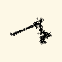 CC[C@@]1(O)C(=O)OCc2c1cc1n(c2=O)Cc2c-1nc1cc(F)c(C)c3c1c2[C@@H](NC(=O)C(O)c1ccc(NC(=O)[C@H](CCCNC(N)=O)NC(=O)[C@@H](NC(=O)CCOCCOCCOCCOCCOCCOCCN=[N+]=[N-])C(C)C)cc1)CC3